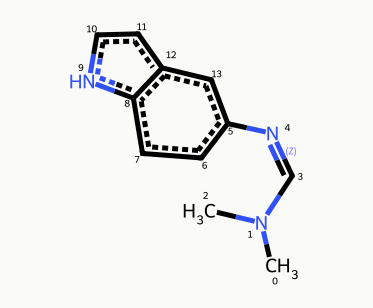 CN(C)/C=N\c1ccc2[nH]ccc2c1